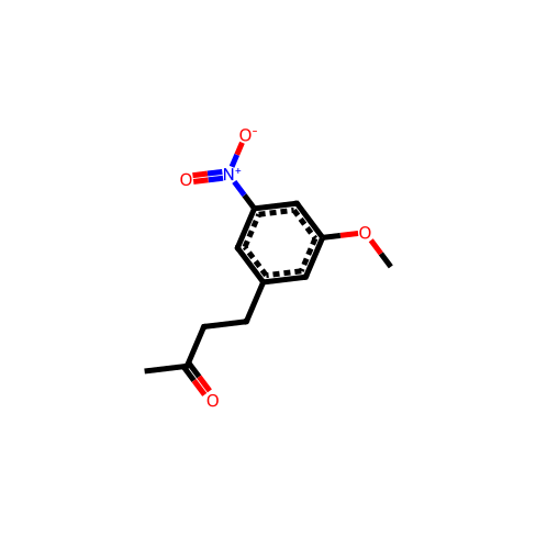 COc1cc(CCC(C)=O)cc([N+](=O)[O-])c1